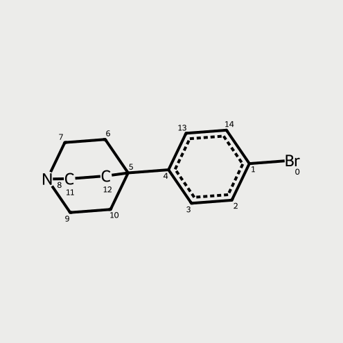 Brc1ccc(C23CCN(CC2)CC3)cc1